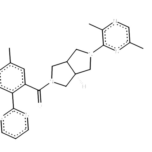 Cc1ccc(-c2ncccn2)c(C(=O)N2CC3CN(c4nc(C)cnc4C)C[C@H]3C2)c1